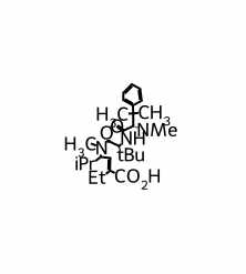 CC/C(=C\C(C(C)C)N(C)C(=O)[C@@H](NC(=O)[C@@H](NC)C(C)(C)c1ccccc1)C(C)(C)C)C(=O)O